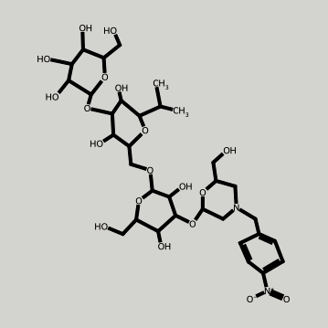 CC(C)C1OC(COC2OC(CO)C(O)C(OC3CN(Cc4ccc([N+](=O)[O-])cc4)CC(CO)O3)C2O)C(O)C(OC2OC(CO)C(O)C(O)C2O)C1O